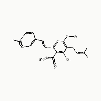 COC(=O)c1c(C=Cc2ccc(F)cc2)cc(OC(C)C)c(CC=C(C)C)c1O